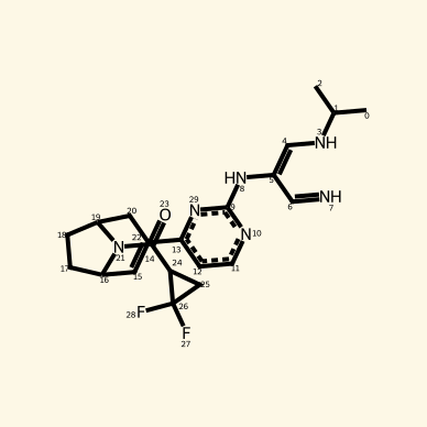 CC(C)N/C=C(\C=N)Nc1nccc(C2=CC3CCC(C2)N3C(=O)C2CC2(F)F)n1